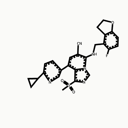 CS(=O)(=O)c1ncn2c(NCc3c(F)ccc4c3CCO4)c(C#N)cc(-c3ccc(C4CC4)nc3)c12